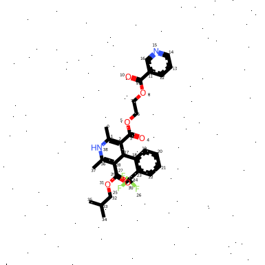 CC1=C(C(=O)OCCOC(=O)c2cccnc2)C(c2ccccc2C(F)(F)F)C(C(=O)OCC(C)C)=C(C)N1